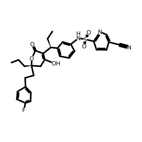 CCC[C@]1(CCc2ccc(F)cc2)CC(O)=C([C@@H](CC)c2cccc(NS(=O)(=O)c3ccc(C#N)cn3)c2)C(=O)O1